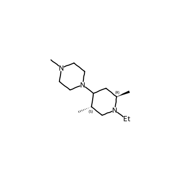 CCN1C[C@H](C)C(N2CCN(C)CC2)C[C@H]1C